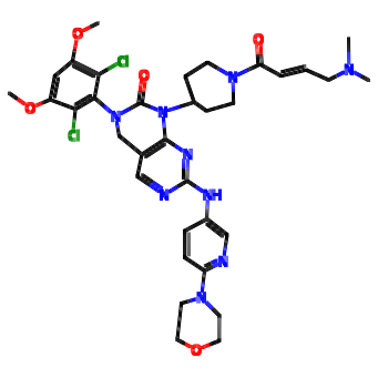 COc1cc(OC)c(Cl)c(N2Cc3cnc(Nc4ccc(N5CCOCC5)nc4)nc3N(C3CCN(C(=O)/C=C/CN(C)C)CC3)C2=O)c1Cl